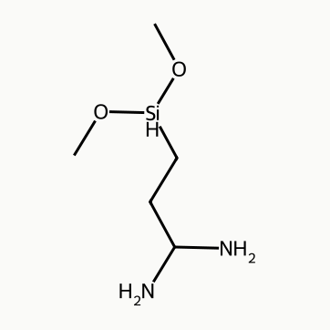 CO[SiH](CCC(N)N)OC